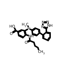 CCCCC(=O)Nc1ccc(C(=O)O)cc1N(C)c1ccc(-c2ccccc2-c2nnn[nH]2)cc1